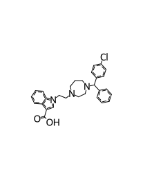 O=C(O)c1cn(CCN2CCCN(C(c3ccccc3)c3ccc(Cl)cc3)CC2)c2ccccc12